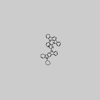 C1=Cc2c(c3ccc4c5ccccc5n(-c5cccc(-n6c7ccccc7c7cc8c(cc76)c6c(n8C7CCCCC7)C=CCC6)n5)c4c3n2-c2ccccc2)CC1